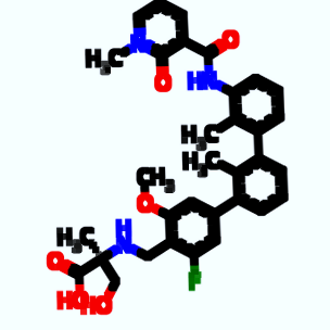 COc1cc(-c2cccc(-c3cccc(NC(=O)c4cccn(C)c4=O)c3C)c2C)cc(F)c1CN[C@@](C)(CO)C(=O)O